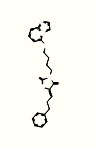 Cl.O=C1SC(=CCCc2ccccc2)C(=O)N1CCCCSc1cccc2nccn12